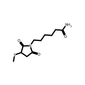 CSC1CC(=O)N(CCCCCC(N)=O)C1=O